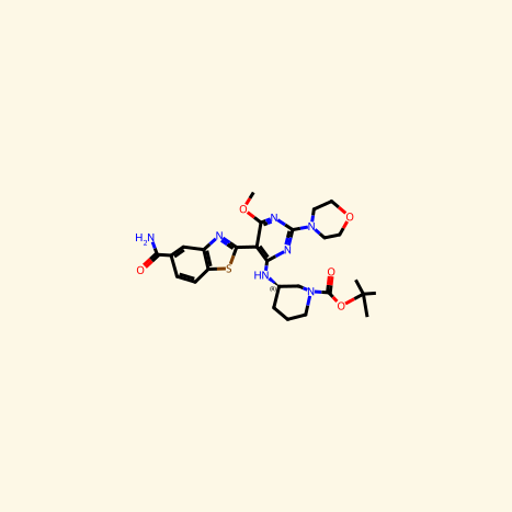 COc1nc(N2CCOCC2)nc(N[C@@H]2CCCN(C(=O)OC(C)(C)C)C2)c1-c1nc2cc(C(N)=O)ccc2s1